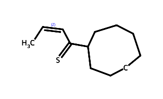 C/C=C\C(=S)C1CCCCCCC1